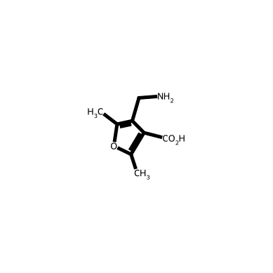 Cc1oc(C)c(C(=O)O)c1CN